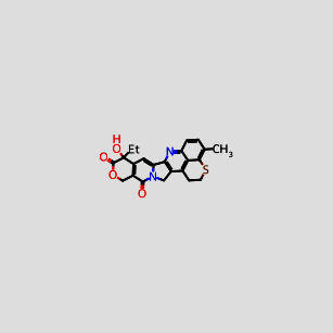 CCC1(O)C(=O)OCc2c1cc1n(c2=O)Cc2c-1nc1ccc(C)c3c1c2CCS3